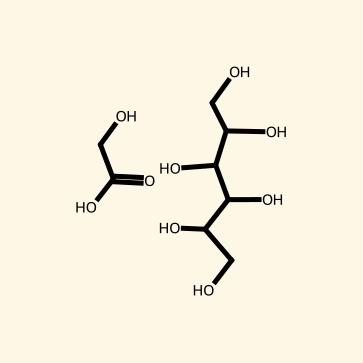 O=C(O)CO.OCC(O)C(O)C(O)C(O)CO